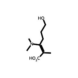 CC(C(=O)O)=C(CCCO)N(C)C